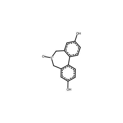 [O-][S+]1Cc2cc(O)ccc2-c2ccc(O)cc2C1